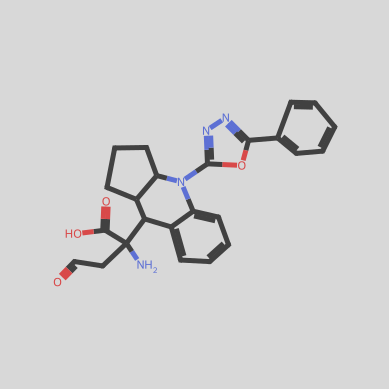 NC(CC=O)(C(=O)O)C1c2ccccc2N(c2nnc(-c3ccccc3)o2)C2CCCC21